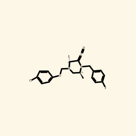 C[C@@H]1C(=C=O)N(Cc2ccc(F)cc2)[C@@H](C)CN1COc1ccc(Cl)cc1